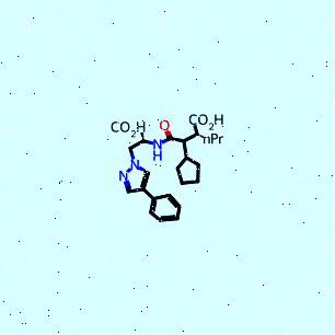 CCC[C@@H](C(=O)O)C(C(=O)N[C@@H](Cn1cc(-c2ccccc2)cn1)C(=O)O)C1CCCC1